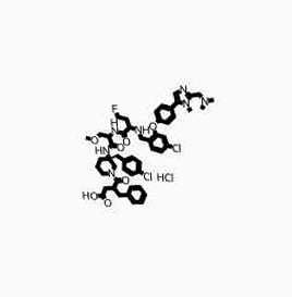 COCC(NC(=O)C(CCF)NCc1ccc(Cl)cc1Oc1ccc(-c2cnc(CN(C)C)n2C)cc1)C(=O)N[C@@]1(Cc2ccc(Cl)cc2)CCCN(C(=O)C(CC(=O)O)Cc2ccccc2)C1.Cl